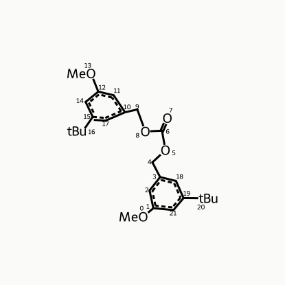 COc1cc(COC(=O)OCc2cc(OC)cc(C(C)(C)C)c2)cc(C(C)(C)C)c1